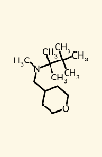 CN(CC1CCOCC1)C(C)(C)C(C)(C)C